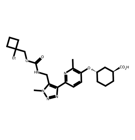 CCC1(COC(=O)NCc2c(-c3ccc(O[C@H]4CCC[C@H](C(=O)O)C4)c(C)n3)nnn2C)CCC1